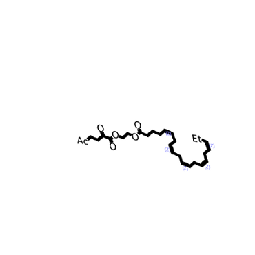 CC/C=C\C/C=C\C/C=C\C/C=C\C/C=C\CCCC(=O)OCCOC(=O)C(=O)CCC(C)=O